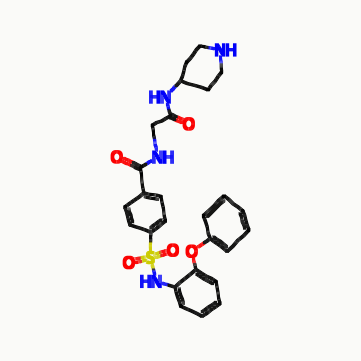 O=C(CNC(=O)c1ccc(S(=O)(=O)Nc2ccccc2Oc2ccccc2)cc1)NC1CCNCC1